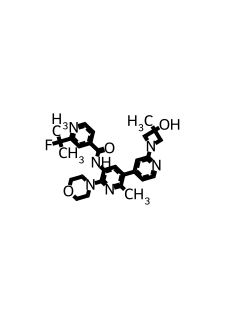 Cc1nc(N2CCOCC2)c(NC(=O)c2ccnc(C(C)(C)F)c2)cc1-c1ccnc(N2CC(C)(O)C2)c1